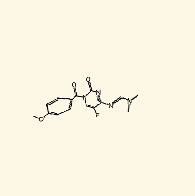 COc1ccc(C(=O)n2cc(F)c(/N=C/N(C)C)nc2=O)cc1